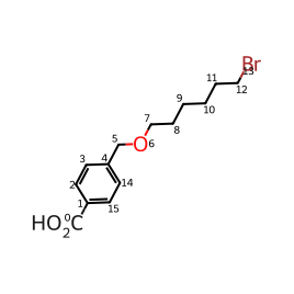 O=C(O)c1ccc(COCCCCCCBr)cc1